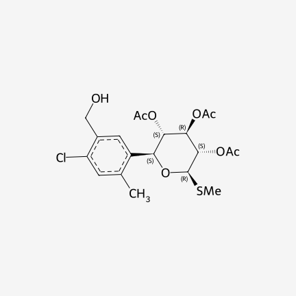 CS[C@H]1O[C@@H](c2cc(CO)c(Cl)cc2C)[C@H](OC(C)=O)[C@@H](OC(C)=O)[C@@H]1OC(C)=O